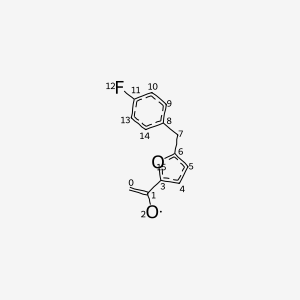 C=C([O])c1ccc(Cc2ccc(F)cc2)o1